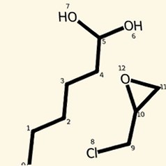 CCCCCC(O)O.ClCC1CO1